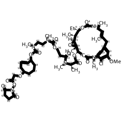 CC[C@@H]1OC(=O)NC(C)/C=C(\C)Cc2cc(OC)c(Cl)c(c2)N(C)C(=O)C[C@H](OC(=O)[C@H](C)N(C)C(=O)CCOC(=O)N(C)CCN(C)C(=O)OC2/C=C/CC(OCC(=O)ON3C(=O)CCC3=O)CCC2)[C@]2(C)O[C@H]2[C@@H]1C